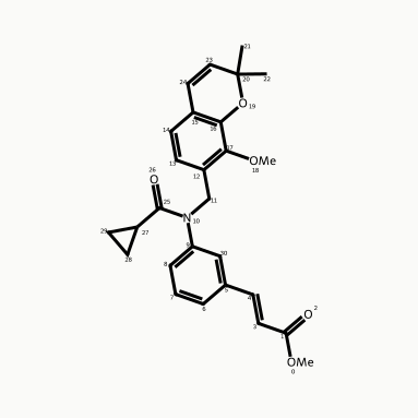 COC(=O)/C=C/c1cccc(N(Cc2ccc3c(c2OC)OC(C)(C)C=C3)C(=O)C2CC2)c1